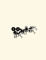 CCCCc1nc(Cl)c(COC(=O)[C@H](CC(N)=O)NC)n1Cc1ccc(-c2ccccc2-c2nn[nH]n2)cc1